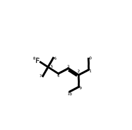 CCC(=CCC(C)(C)F)CC